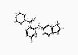 Cc1ccc(C(=O)N2CCOCC2)c(Nc2ccc3cn[nH]c3c2)n1